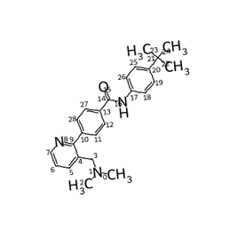 CN(C)Cc1cccnc1-c1ccc(C(=O)Nc2ccc(C(C)(C)C)cc2)cc1